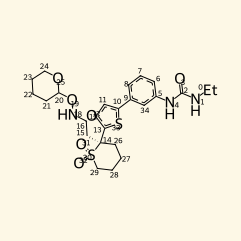 CCNC(=O)Nc1cccc(-c2ccc([C@@]3(CC(=O)NOC4CCCCO4)CCCCS3(=O)=O)s2)c1